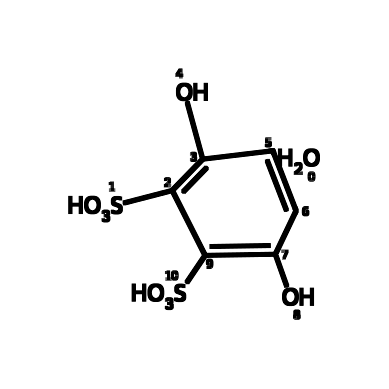 O.O=S(=O)(O)c1c(O)ccc(O)c1S(=O)(=O)O